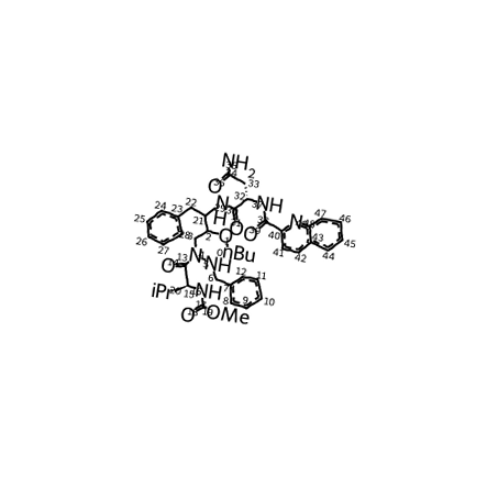 CCCCOC(CN(NCc1ccccc1)C(=O)[C@@H](NC(=O)OC)C(C)C)C(Cc1ccccc1)NC(=O)[C@H](CC(N)=O)NC(=O)c1ccc2ccccc2n1